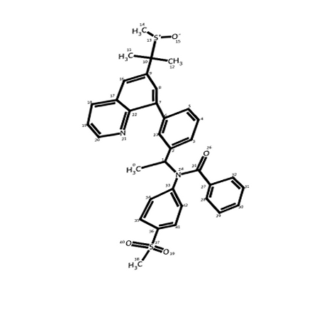 CC(c1cccc(-c2cc(C(C)(C)[S+](C)[O-])cc3cccnc23)c1)N(C(=O)c1ccccc1)c1ccc(S(C)(=O)=O)cc1